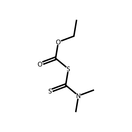 CCOC(=O)SC(=S)N(C)C